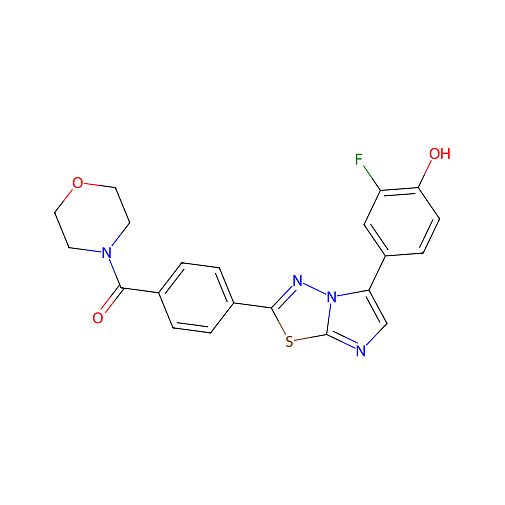 O=C(c1ccc(-c2nn3c(-c4ccc(O)c(F)c4)cnc3s2)cc1)N1CCOCC1